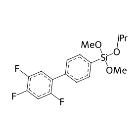 CO[Si](OC)(OC(C)C)c1ccc(-c2cc(F)c(F)cc2F)cc1